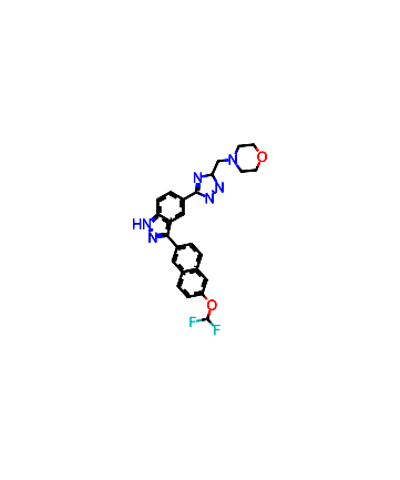 FC(F)Oc1ccc2cc(-c3n[nH]c4ccc(C5=NC(CN6CCOCC6)N=N5)cc34)ccc2c1